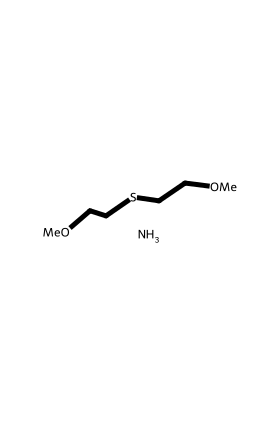 COCCSCCOC.N